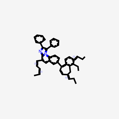 C/C=C\C=C/c1cc2cc(C3=c4cc/c(=C/CC)c(CC)c4C/C(=C\CC)C=C3)ccc2n2c(-c3ccccc3)c(-c3ccccc3)nc12